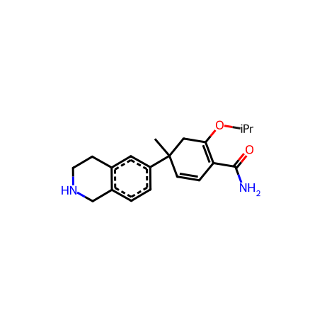 CC(C)OC1=C(C(N)=O)C=CC(C)(c2ccc3c(c2)CCNC3)C1